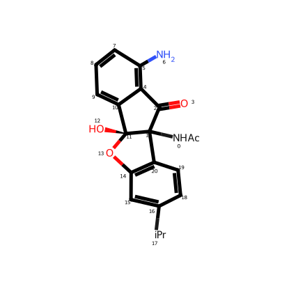 CC(=O)NC12C(=O)c3c(N)cccc3[C@@]1(O)Oc1cc(C(C)C)ccc12